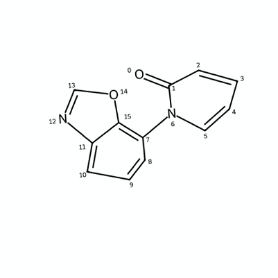 O=c1ccccn1-c1cccc2ncoc12